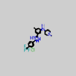 Cc1cc(NC2CCN(C)CC2)cc(-c2nnc(-c3ccc(C(F)(F)F)c(Cl)c3)[nH]2)c1